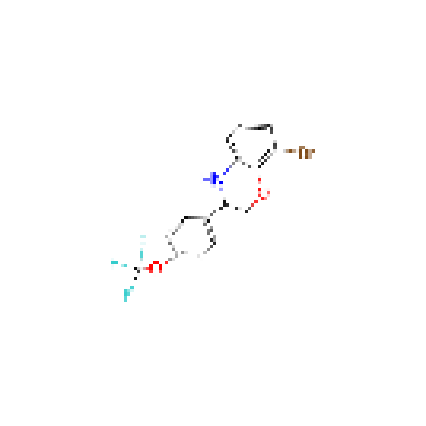 FC(F)(F)Oc1ccc(C2COc3c(Br)cccc3N2)cc1